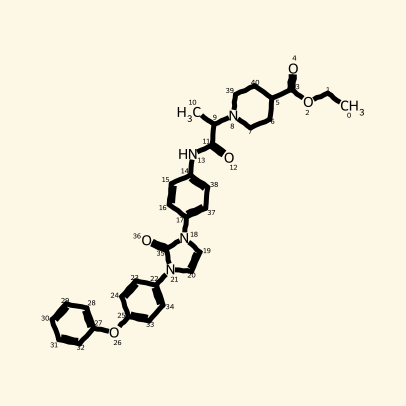 CCOC(=O)C1CCN(C(C)C(=O)Nc2ccc(-n3ccn(-c4ccc(Oc5ccccc5)cc4)c3=O)cc2)CC1